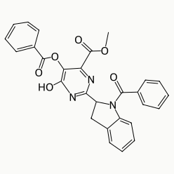 COC(=O)c1nc(C2Cc3ccccc3N2C(=O)c2ccccc2)nc(O)c1OC(=O)c1ccccc1